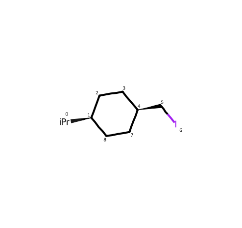 CC(C)[C@H]1CC[C@@H](CI)CC1